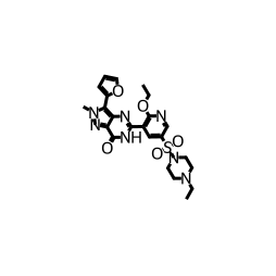 CCOc1ncc(S(=O)(=O)N2CCN(CC)CC2)cc1-c1nc2c(-c3ccco3)n(C)nc2c(=O)[nH]1